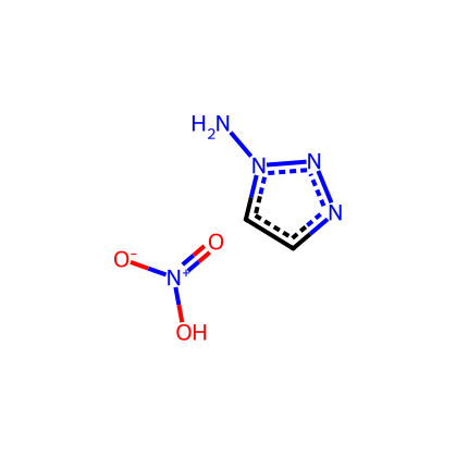 Nn1ccnn1.O=[N+]([O-])O